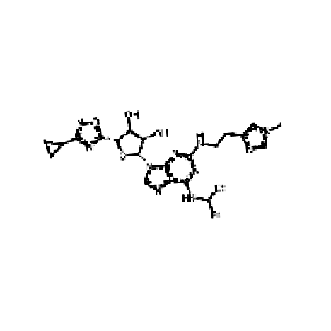 CCC(CC)Nc1nc(NCCc2cn(C)cn2)nc2c1ncn2[C@@H]1O[C@H](c2nc(C3CC3)no2)[C@@H](O)[C@H]1O